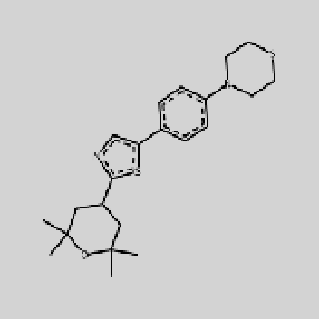 CC1(C)CC(c2ncc(-c3ccc(N4CCSCC4)cc3)s2)CC(C)(C)O1